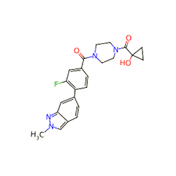 Cn1cc2ccc(-c3ccc(C(=O)N4CCN(C(=O)C5(O)CC5)CC4)cc3F)cc2n1